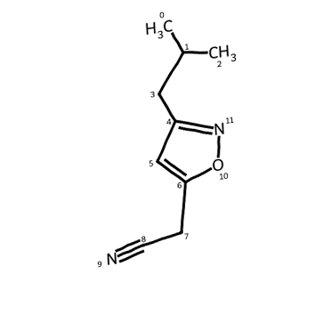 CC(C)Cc1cc(CC#N)on1